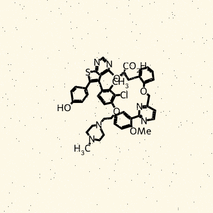 COc1ccccc1-c1nccc(COc2ccccc2C[C@@H](Oc2ncnc3sc(-c4ccc(O)cc4)c(-c4ccc(OCCN5CCN(C)CC5)c(Cl)c4C)c23)C(=O)O)n1